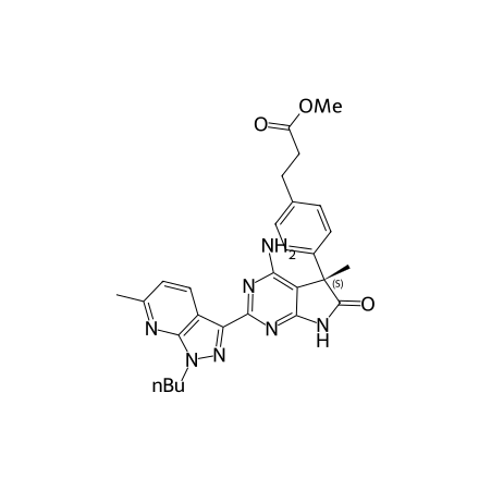 CCCCn1nc(-c2nc(N)c3c(n2)NC(=O)[C@@]3(C)c2ccc(CCC(=O)OC)cc2)c2ccc(C)nc21